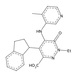 CCn1nc(C(=O)O)c(C2CCc3ccccc32)c(Nc2cnccc2C)c1=O